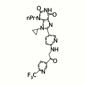 CCCn1c(=O)[nH]c(=O)c2nc(-c3ccc(NCC(=O)c4ccc(C(F)(F)F)nc4)nc3)n(C3CC3)c21